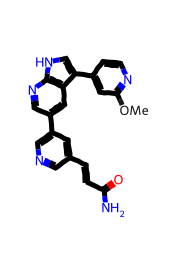 COc1cc(-c2c[nH]c3ncc(-c4cncc(C=CC(N)=O)c4)cc23)ccn1